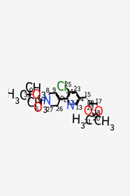 CC(C)(C)OC(=O)N1CC=C(c2ncc(C[C@@H]3COC(C)(C)O3)cc2Cl)CC1